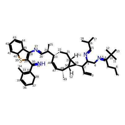 C=CC(C(C/N=C(\CCC)C(C)(C)C)/N=C/C(C)C)[C@@H]1[C@H]2CC[C@@H]([C@H](C)/C=N/C3=C(C(=N)C4=C(C)C=CCC4)SC4C=CC=CC34)/C=C\[C@@H](C)[C@H]21